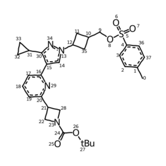 Cc1ccc(S(=O)(=O)OCC2CC(n3cc(-c4cccc(C5CN(C(=O)OC(C)(C)C)C5)n4)c(C4CC4)n3)C2)cc1